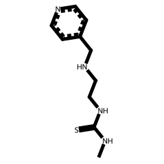 CNC(=S)NCCNCc1ccncc1